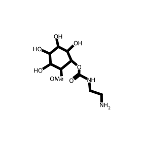 COC1C(O)C(O)C(O)C(O)C1OC(=O)NCCN